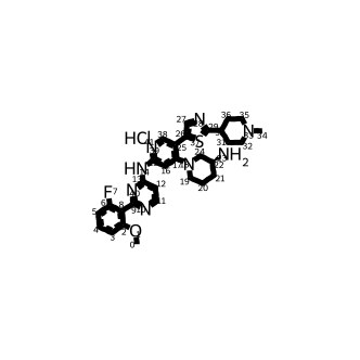 COc1cccc(F)c1-c1nccc(Nc2cc(N3CCC[C@H](N)C3)c(-c3cnc(C4CCN(C)CC4)s3)cn2)n1.Cl